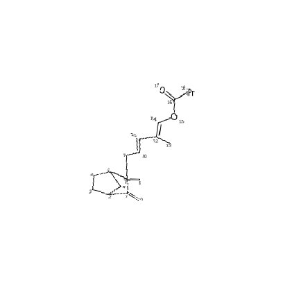 C=C1C2CCC(C2)C1(C)C/C=C/C(C)=C/OC(=O)C(C)C